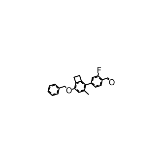 Cc1cc(OCc2ccccc2)c2c(c1-c1ccc(C=O)c(F)c1)CC2